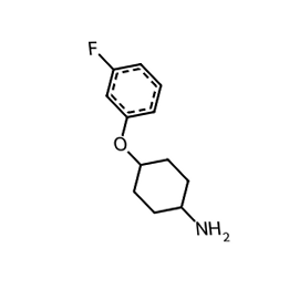 NC1CCC(Oc2cccc(F)c2)CC1